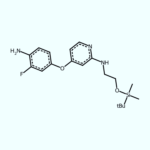 CC(C)(C)[Si](C)(C)OCCNc1cc(Oc2ccc(N)c(F)c2)ccn1